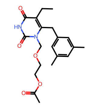 CCc1c(Cc2cc(C)cc(C)c2)n(COCCOC(C)=O)c(=O)[nH]c1=O